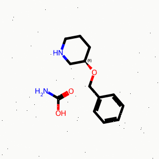 NC(=O)O.c1ccc(CO[C@@H]2CCCNC2)cc1